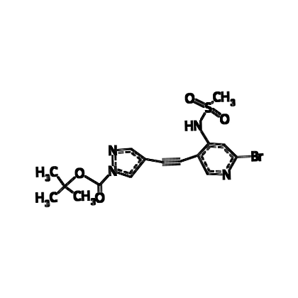 CC(C)(C)OC(=O)n1cc(C#Cc2cnc(Br)cc2NS(C)(=O)=O)cn1